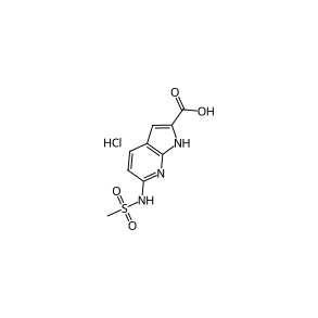 CS(=O)(=O)Nc1ccc2cc(C(=O)O)[nH]c2n1.Cl